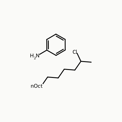 CCCCCCCCCCCCC(C)Cl.Nc1ccccc1